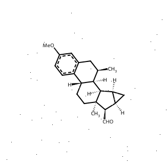 COc1ccc2c(c1)C[C@@H](C)[C@H]1[C@H]3[C@H]4C[C@H]4[C@@H](C=O)[C@@]3(C)CC[C@H]21